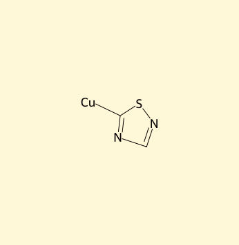 [Cu][c]1ncns1